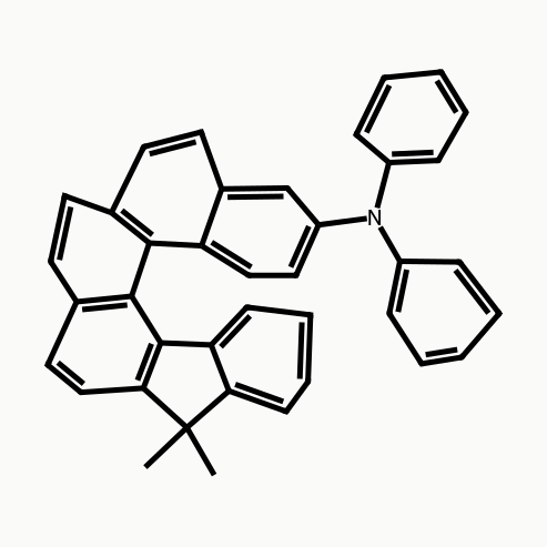 CC1(C)c2ccccc2-c2c1ccc1ccc3ccc4cc(N(c5ccccc5)c5ccccc5)ccc4c3c21